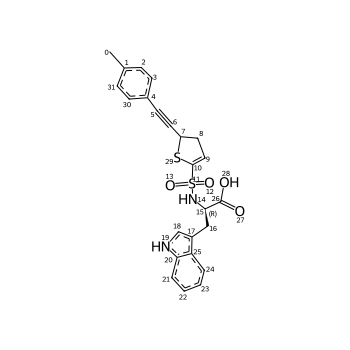 Cc1ccc(C#CC2CC=C(S(=O)(=O)N[C@H](Cc3c[nH]c4ccccc34)C(=O)O)S2)cc1